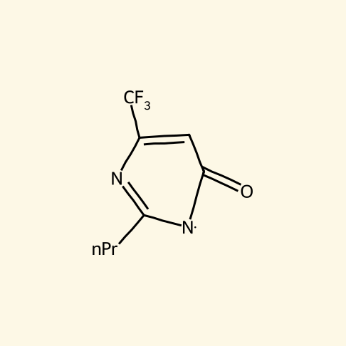 CCCC1=NC(C(F)(F)F)=CC(=O)[N]1